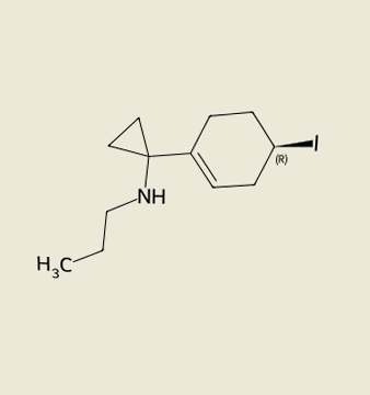 CCCNC1(C2=CC[C@H](I)CC2)CC1